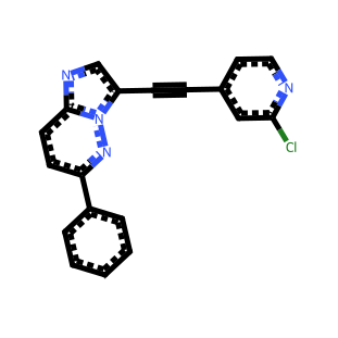 Clc1cc(C#Cc2cnc3ccc(-c4cc[c]cc4)nn23)ccn1